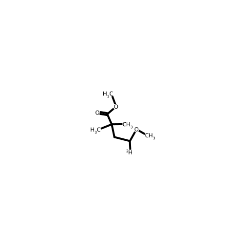 [2H]C(CC(C)(C)C(=O)OC)OC